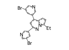 CCc1ccc2c(-c3cncc(Br)c3)cc(-c3cncc(Br)c3)nn12